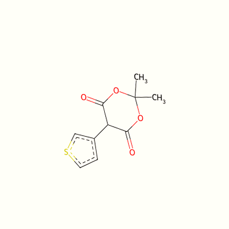 CC1(C)OC(=O)C(c2ccsc2)C(=O)O1